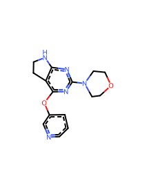 c1cncc(Oc2nc(N3CCOCC3)nc3c2CCN3)c1